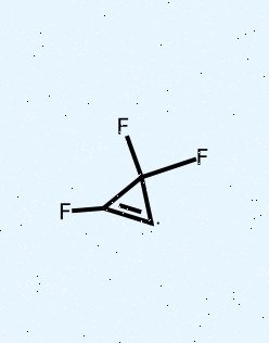 FC1=[C]C1(F)F